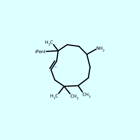 CCCC(C)C1(C)/C=C/CC(C)(C)C(C)CCC(N)CC1